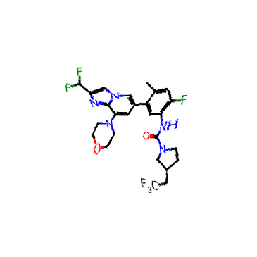 Cc1cc(F)c(NC(=O)N2CC[C@@H](CC(F)(F)F)C2)cc1-c1cc(N2CCOCC2)c2nc(C(F)F)cn2c1